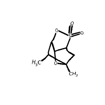 CC1C2OS(=O)(=O)C3CC1(C)OC23